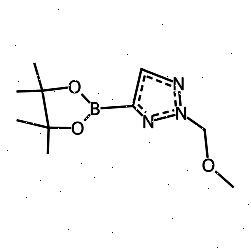 COCn1ncc(B2OC(C)(C)C(C)(C)O2)n1